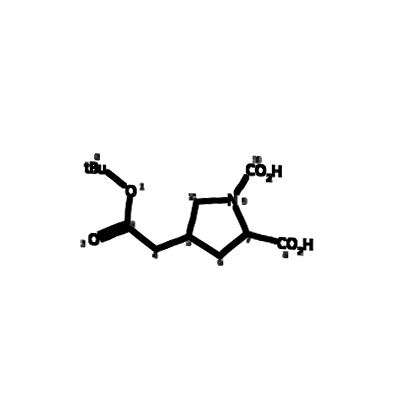 CC(C)(C)OC(=O)CC1CC(C(=O)O)N(C(=O)O)C1